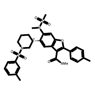 CNC(=O)c1c(-c2ccc(C)cc2)oc2cc(N(C)S(C)(=O)=O)c([C@H]3CCCN(S(=O)(=O)c4cccc(C)c4)C3)cc12